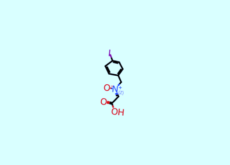 O=C(O)/C=[N+](\[O-])Cc1ccc(I)cc1